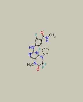 CNC(=O)c1cc(F)c(Nc2ncc3c(n2)N(C2CCCC2)CC(F)(F)C(=O)N3C)cc1F